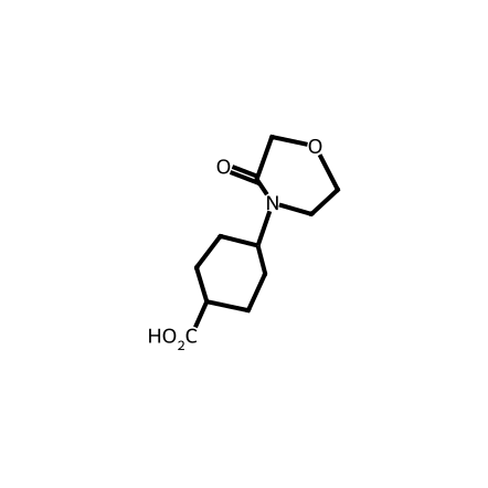 O=C(O)C1CCC(N2CCOCC2=O)CC1